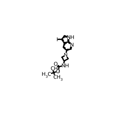 CC(C)(C)OC(=O)NC1CN(c2cnc3[nH]cc(I)c3c2)C1